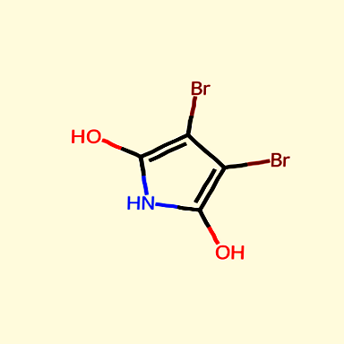 Oc1[nH]c(O)c(Br)c1Br